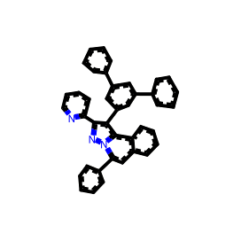 c1ccc(-c2cc(-c3ccccc3)cc(-c3c(-c4ccccn4)nn4c(-c5ccccc5)cc5ccccc5c34)c2)cc1